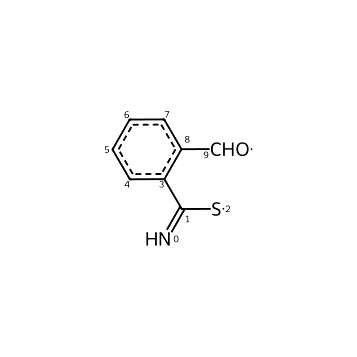 N=C([S])c1ccccc1[C]=O